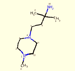 CN1CCN(CCC(C)(C)N)CC1